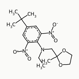 CCN(CC1(C)OCCO1)c1c([N+](=O)[O-])cc(C(C)(C)C)cc1[N+](=O)[O-]